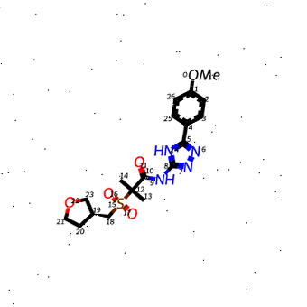 COc1ccc(-c2nnc(NC(=O)C(C)(C)S(=O)(=O)C[C@H]3CCOC3)[nH]2)cc1